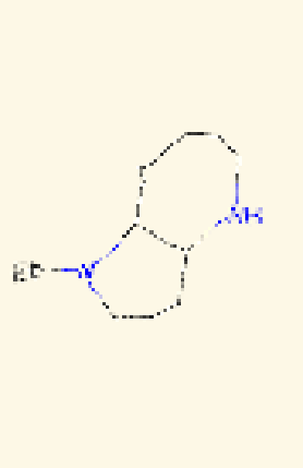 CCN1CCC2NCCCC21